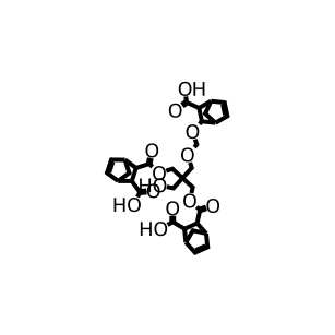 O=C(O)C1C2C=CC(C2)C1OCOCC(CO)(COC(=O)C1C2C=CC(C2)C1C(=O)O)COC(=O)C1C2C=CC(C2)C1C(=O)O